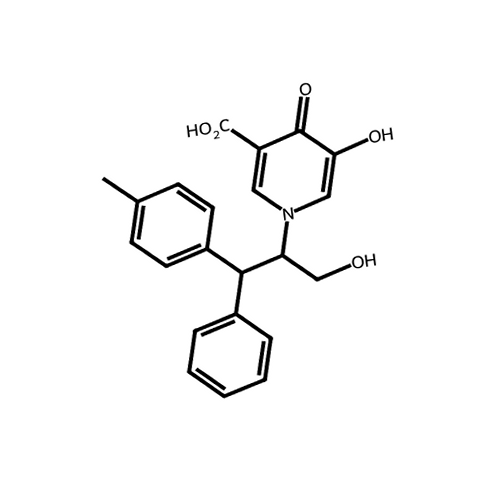 Cc1ccc(C(c2ccccc2)C(CO)n2cc(O)c(=O)c(C(=O)O)c2)cc1